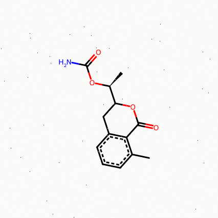 Cc1cccc2c1C(=O)OC([C@H](C)OC(N)=O)C2